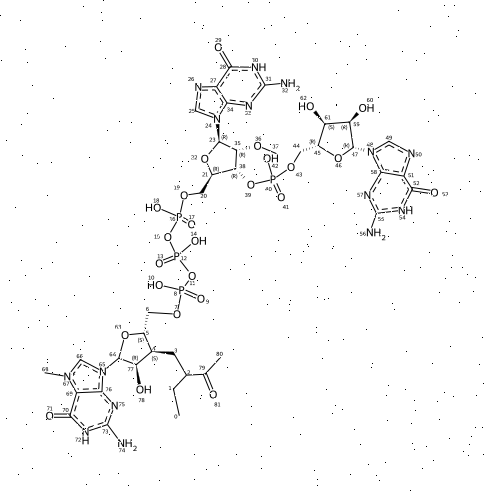 CCC(C[C@@H]1[C@@H](COP(=O)(O)OP(=O)(O)OP(=O)(O)OC[C@H]2O[C@@H](n3cnc4c(=O)[nH]c(N)nc43)[C@H](OC)[C@@H]2OP(=O)(O)OC[C@H]2O[C@@H](n3cnc4c(=O)[nH]c(N)nc43)[C@H](O)[C@@H]2O)OC(n2c[n+](C)c3c(=O)[nH]c(N)nc32)[C@@H]1O)C(C)=O